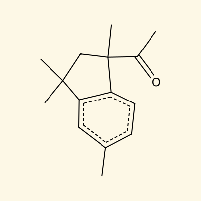 CC(=O)C1(C)CC(C)(C)c2cc(C)ccc21